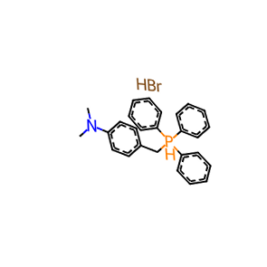 Br.CN(C)c1ccc(C[PH](c2ccccc2)(c2ccccc2)c2ccccc2)cc1